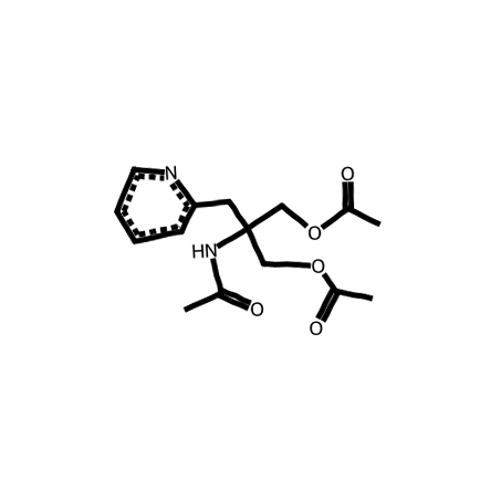 CC(=O)NC(COC(C)=O)(COC(C)=O)Cc1ccccn1